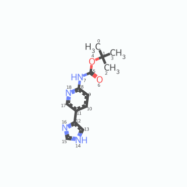 CC(C)(C)OC(=O)Nc1ccc(-c2c[nH]cn2)cn1